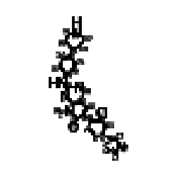 CCn1c(=O)c(-c2ccc(-c3cncs3)cc2Cl)cc2cnc(Nc3ccc(C4CCNCC4)cc3)nc21